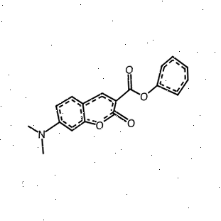 CN(C)c1ccc2cc(C(=O)Oc3ccccc3)c(=O)oc2c1